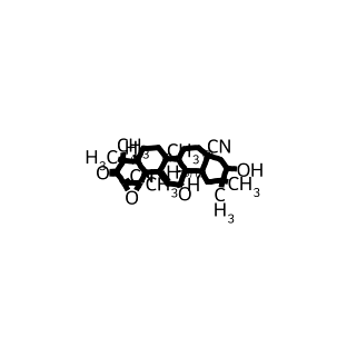 CC1(C)C[C@H]2[C@H]3C(=O)C=C4[C@@]5(C)C6OC6(C#N)C(=O)C(C)(C)[C@@H]5CC[C@@]4(C)C3CC[C@@]2(C#N)CC1O